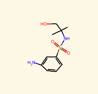 CC(C)(CO)NS(=O)(=O)c1cccc(N)c1